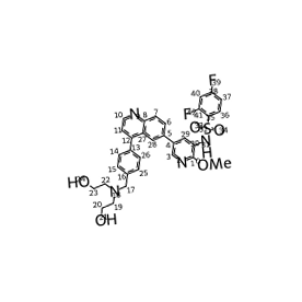 COc1ncc(-c2ccc3nccc(-c4ccc(CN(CCO)CCO)cc4)c3c2)cc1NS(=O)(=O)c1ccc(F)cc1F